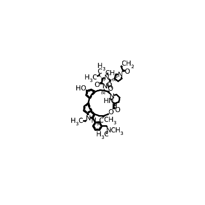 C=CC(=O)N1CC[C@H](C(=O)N(C)[C@H](C(=O)N[C@H]2Cc3cc(O)cc(c3)-c3ccc4c(c3)c(c(-c3cccc(CN(C)C)c3)n4CC)CC(C)(C)COC(=O)[C@@H]3CCCN(N3)C2=O)C(C)C)C1